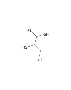 CCC(S)C(S)CS